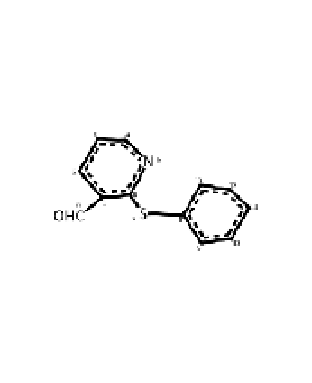 O=Cc1cccnc1Sc1ccccc1